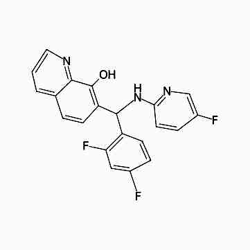 Oc1c(C(Nc2ccc(F)cn2)c2ccc(F)cc2F)ccc2cccnc12